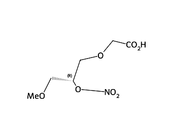 COC[C@H](COCC(=O)O)O[N+](=O)[O-]